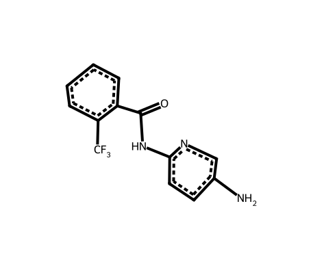 Nc1ccc(NC(=O)c2ccccc2C(F)(F)F)nc1